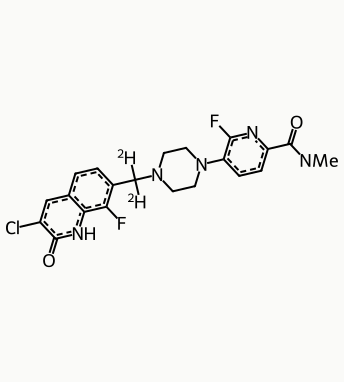 [2H]C([2H])(c1ccc2cc(Cl)c(=O)[nH]c2c1F)N1CCN(c2ccc(C(=O)NC)nc2F)CC1